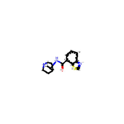 O=C(NC1CN2CCC1CC2)c1cccc2ncsc12